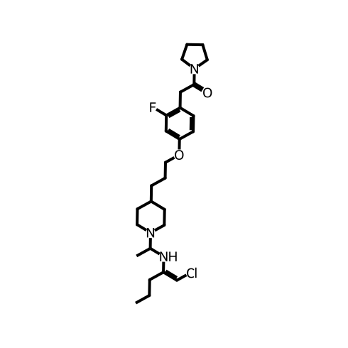 CCC/C(=C/Cl)NC(C)N1CCC(CCCOc2ccc(CC(=O)N3CCCC3)c(F)c2)CC1